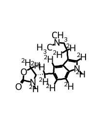 [2H]c1c(C([2H])([2H])[C@@H]2N([2H])C(=O)OC2([2H])[2H])c([2H])c2c(C([2H])([2H])CN(C)C)c([2H])n([2H])c2c1[2H]